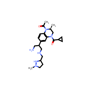 CC(=O)N1c2ccc(C(CN)CNCC3CCN(C)N3)cc2N(C(=O)C2CC2)C[C@@H]1C